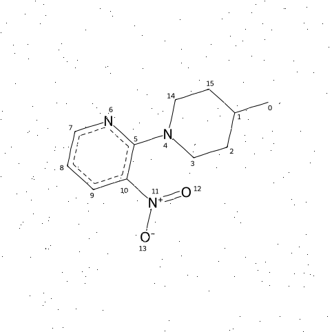 CC1CCN(c2ncccc2[N+](=O)[O-])CC1